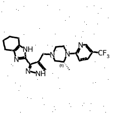 C[C@@H]1CN(Cc2c[nH]nc2-c2nc3c([nH]2)CCCC3)CCN1c1ccc(C(F)(F)F)cn1